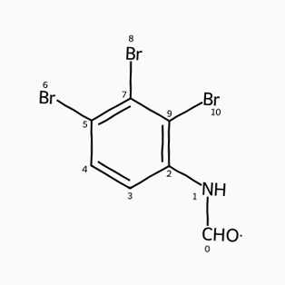 O=[C]Nc1ccc(Br)c(Br)c1Br